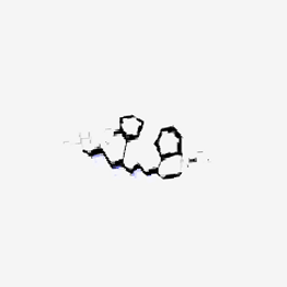 CCC/C=C/C=C(/C=C/C=C1/C=CN(CC)c2ccccc21)c1ccccc1C